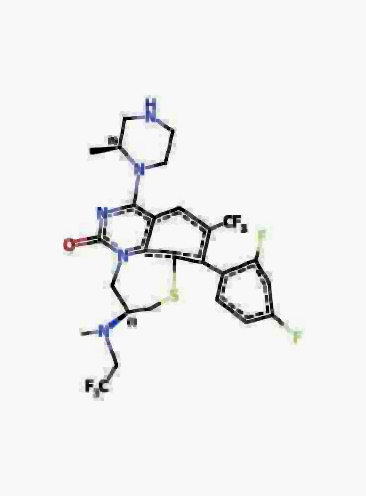 C[C@H]1CNCCN1c1nc(=O)n2c3c(c(-c4ccc(F)cc4F)c(C(F)(F)F)cc13)SC[C@@H](N(C)CC(F)(F)F)C2